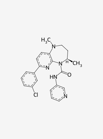 C[C@@H]1CCN(C)c2ccc(-c3cccc(Cl)c3)nc2N1C(=O)Nc1cccnc1